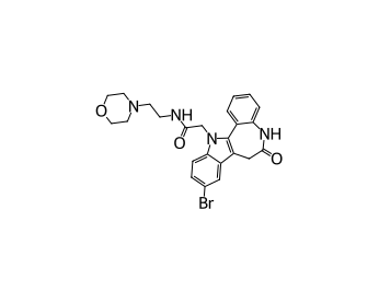 O=C(Cn1c2c(c3cc(Br)ccc31)CC(=O)Nc1ccccc1-2)NCCN1CCOCC1